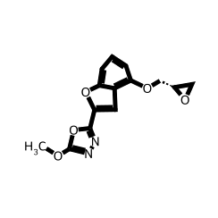 COc1nnc(-c2cc3c(OC[C@@H]4CO4)cccc3o2)o1